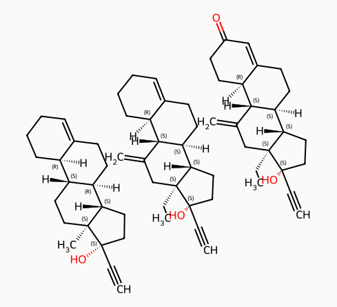 C#C[C@]1(O)CC[C@H]2[C@@H]3CCC4=CC(=O)CC[C@@H]4[C@H]3C(=C)C[C@@]21CC.C#C[C@]1(O)CC[C@H]2[C@@H]3CCC4=CCCC[C@@H]4[C@H]3C(=C)C[C@@]21CC.C#C[C@]1(O)CC[C@H]2[C@@H]3CCC4=CCCC[C@@H]4[C@H]3CC[C@@]21C